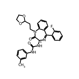 Cc1cccc(NC(=O)N[C@@H]2N=C(c3ccccc3F)c3ccccc3N(CCC3OCCO3)C2=O)c1